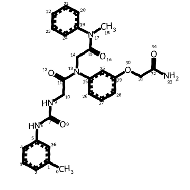 Cc1cccc(NC(=O)NCC(=O)N(CC(=O)N(C)c2ccccc2)c2cccc(OCC(N)=O)c2)c1